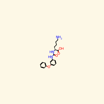 NCCCC[C@H](NC(=O)Nc1cccc(Oc2ccccc2)c1)C(=O)O